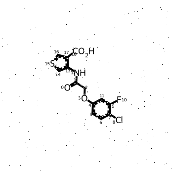 O=C(COc1ccc(Cl)c(F)c1)Nc1cscc1C(=O)O